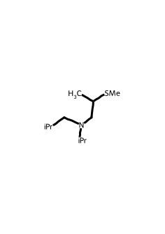 CSC(C)CN(CC(C)C)C(C)C